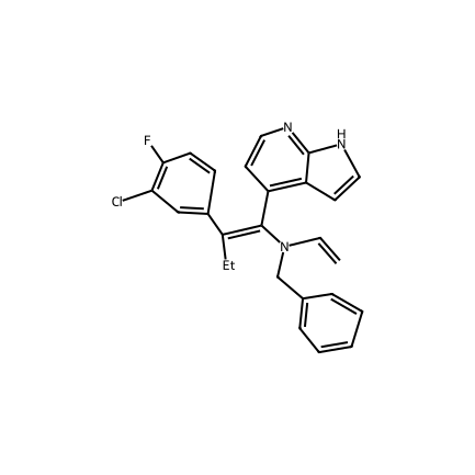 C=CN(Cc1ccccc1)/C(=C(\CC)c1ccc(F)c(Cl)c1)c1ccnc2[nH]ccc12